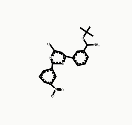 CC(C)(C)OC(N)c1cccc(-c2cc(Cl)nc(-c3cccc([N+](=O)[O-])c3)n2)c1